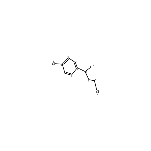 F[C](CCCl)c1ccc(Cl)cc1